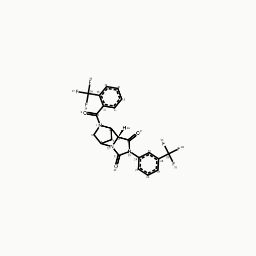 O=C1[C@H]2C3CC(CN3C(=O)c3ccccc3C(F)(F)F)N2C(=O)N1c1cccc(C(F)(F)F)c1